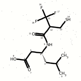 CC(C)C[C@H](CC(=O)O)NC(=O)C(CS)C(F)(F)F